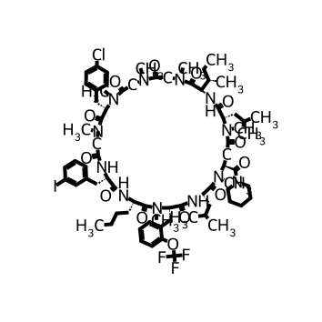 CCCC[C@@H]1NC(=O)[C@H](Cc2cccc(I)c2)NC(=O)CN(C)C(=O)[C@H](Cc2ccc(Cl)cc2)N(C)C(=O)CN(C)C(=O)CN(C)C(=O)[C@H]([C@@H](C)CC)NC(=O)[C@H](CC(C)C)N(C)C(=O)C[C@@H](C(=O)N2CCCCC2)N(C)C(=O)[C@H](CC(C)C)NC(=O)[C@H](Cc2ccccc2OC(F)(F)F)N(C)C1=O